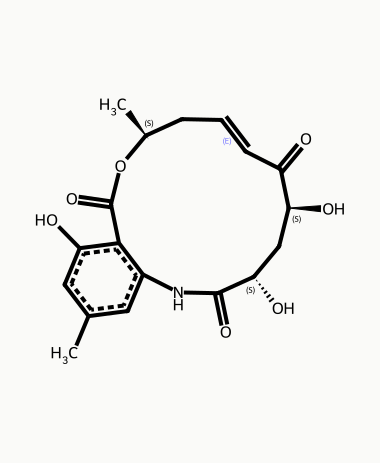 Cc1cc(O)c2c(c1)NC(=O)[C@@H](O)C[C@H](O)C(=O)/C=C/C[C@H](C)OC2=O